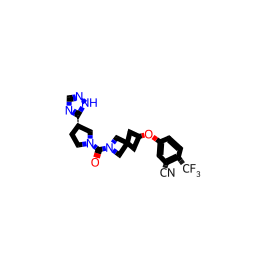 N#Cc1cc(OC2CC3(C2)CN(C(=O)N2CC[C@H](c4ncn[nH]4)C2)C3)ccc1C(F)(F)F